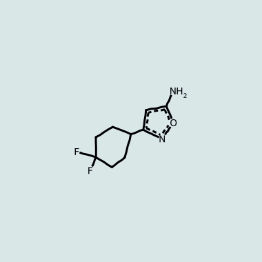 Nc1cc(C2CCC(F)(F)CC2)no1